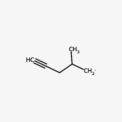 C#CCC([CH2])C